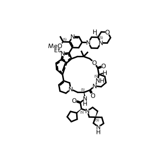 CCn1c(C2=C([C@H](C)OC)N=CC(N3CCN4CCOC[C@@H]4C3)C2)c2c3cc(ccc31)C1=CCCN(C1)C[C@H](NC(=O)[C@H](C1CCCC1)N1CC[C@]3(CCNC3)C1)C(=O)N1CCC[C@H](N1)C(=O)OCC(C)(C)C2